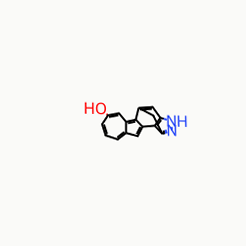 Oc1cccc2cc3c(c4cc5[nH]nc(c53)C4)c-2c1